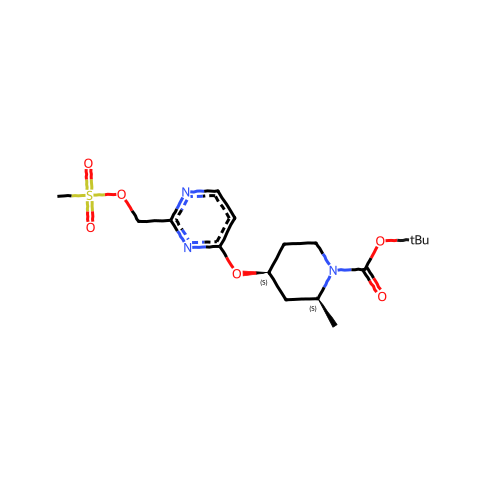 C[C@H]1C[C@@H](Oc2ccnc(COS(C)(=O)=O)n2)CCN1C(=O)OC(C)(C)C